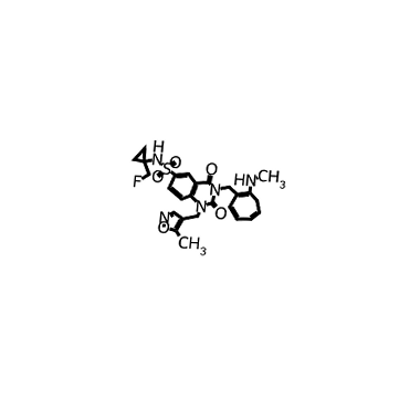 CNC1=C(Cn2c(=O)c3cc(S(=O)(=O)NC4(CF)CC4)ccc3n(Cc3cnoc3C)c2=O)C=CC=CC1